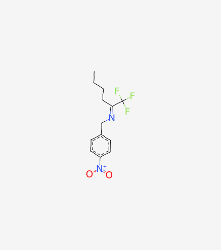 CCCC/C(=N\Cc1ccc([N+](=O)[O-])cc1)C(F)(F)F